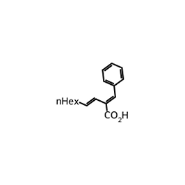 CCCCCCC=CC(=Cc1ccccc1)C(=O)O